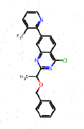 CC(OCc1ccccc1)c1nc(Cl)c2ccc(-c3ncccc3C(F)(F)F)cc2n1